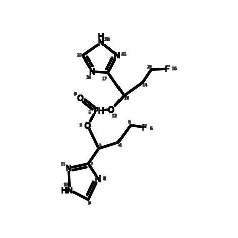 O=[PH](OC(CCF)c1nc[nH]n1)OC(CCF)c1nc[nH]n1